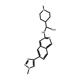 CN1CCC(C(O)Nc2cc3cc(-c4cn(C)nn4)ccc3cn2)CC1